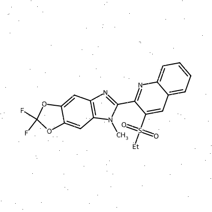 CCS(=O)(=O)c1cc2ccccc2nc1-c1nc2cc3c(cc2n1C)OC(F)(F)O3